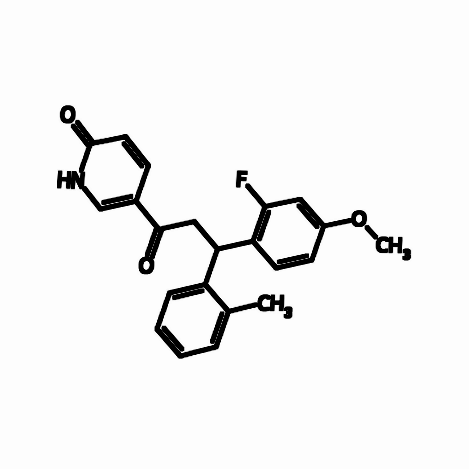 COc1ccc(C(CC(=O)c2ccc(=O)[nH]c2)c2ccccc2C)c(F)c1